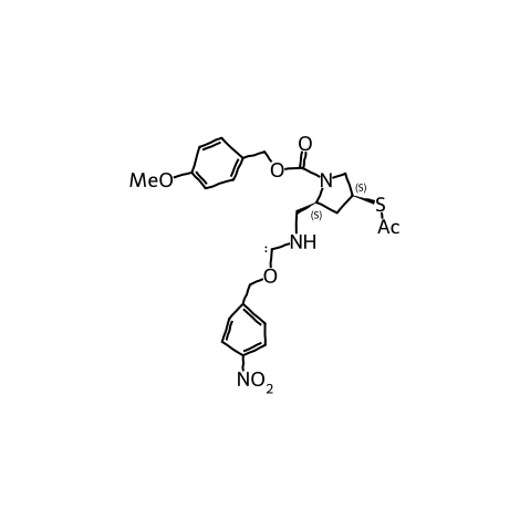 COc1ccc(COC(=O)N2C[C@@H](SC(C)=O)C[C@H]2CN[C]OCc2ccc([N+](=O)[O-])cc2)cc1